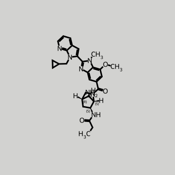 CCC(=O)N[C@H]1C[C@@H]2CN(C(=O)c3cc(OC)c4c(c3)nc(-c3cc5cccnc5n3CC3CC3)n4C)[C@H]1[C@@H]2N